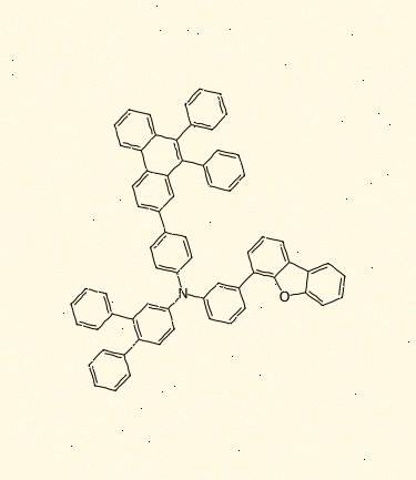 c1ccc(-c2ccc(N(c3ccc(-c4ccc5c(c4)c(-c4ccccc4)c(-c4ccccc4)c4ccccc45)cc3)c3cccc(-c4cccc5c4oc4ccccc45)c3)cc2-c2ccccc2)cc1